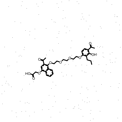 CCCc1c(OCCOCCOCCOc2c(C(C)=O)cc(OCC(=O)O)c3ccccc23)ccc(C(C)=O)c1O